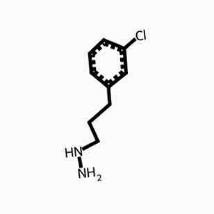 NNCCCc1cccc(Cl)c1